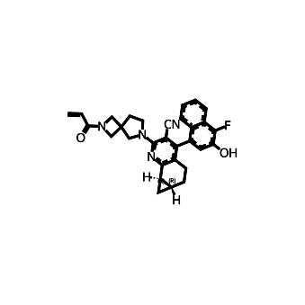 C=CC(=O)N1CC2(CCN(c3nc4c(c(-c5cc(O)c(F)c6ccccc56)c3C#N)CC[C@@H]3C[C@@H]43)C2)C1